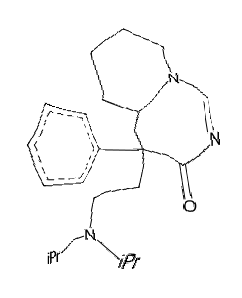 CC(C)N(CCC1(c2ccccc2)C(=O)N=CN2CCCCC21)C(C)C